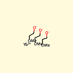 COCC[O-].COCC[O-].COCC[O-].[Yb+3]